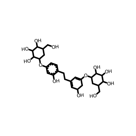 OCC1CC(OC2=CC(CCc3ccc(OC4CC(CO)C(O)C(O)C4O)cc3O)=CC(O)C2)C(O)C(O)C1O